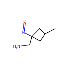 CC1CC(CN)(N=O)C1